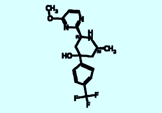 COc1ccnc([C@@H]2CC(O)(c3ccc(C(F)(F)F)cc3)C[C@H](C)N2)n1